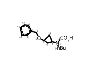 CCCCN(C(=O)O)C1CC(OCc2ccccc2)C1